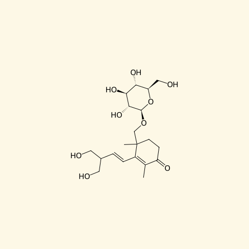 CC1=C(/C=C/C(CO)CO)C(C)(CO[C@@H]2O[C@H](CO)[C@@H](O)[C@H](O)[C@H]2O)CCC1=O